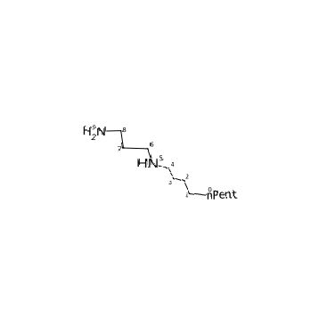 [CH2]CCCCCCCCNCCCN